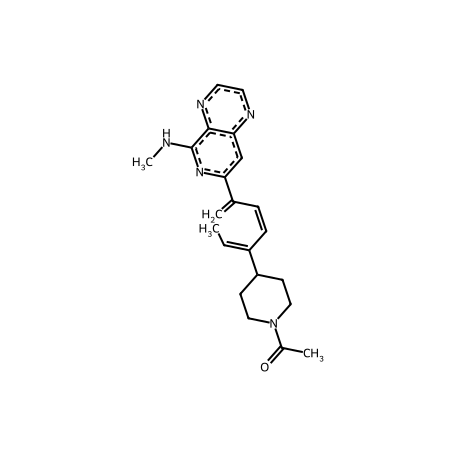 C=C(/C=C\C(=C/C)C1CCN(C(C)=O)CC1)c1cc2nccnc2c(NC)n1